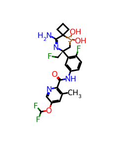 Cc1cc(OC(F)F)cnc1C(=O)Nc1ccc(F)c([C@@]2(CF)CS(O)(O)C3(CCC3)C(N)=N2)c1